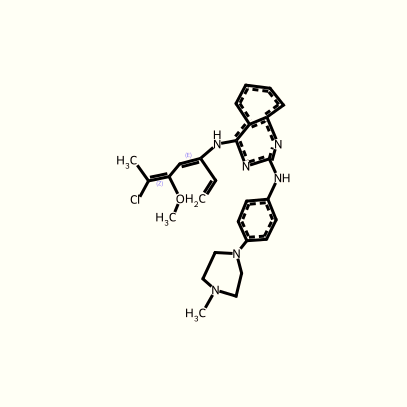 C=C/C(=C\C(OC)=C(/C)Cl)Nc1nc(Nc2ccc(N3CCN(C)CC3)cc2)nc2ccccc12